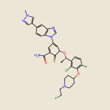 C[C@@H](OC1C=C(n2cnc3cc(-c4cnn(C)c4)ccc32)C=C(C(N)=O)C1=S)c1ccc(F)c(OC2CCN(CCF)CC2)c1Cl